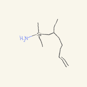 C=CCC(C)[Si](C)(C)N